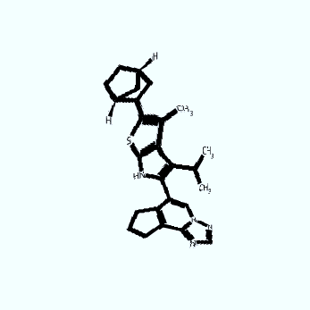 Cc1c(C2C[C@H]3CC[C@@H]2C3)sc2[nH]c(-c3cn4ncnc4c4c3CCC4)c(C(C)C)c12